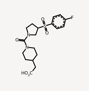 O=C(O)CC1CCN(C(=O)N2CCC(S(=O)(=O)c3ccc(F)cc3)C2)CC1